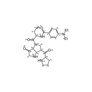 CCN(CC)c1ccc(C(=O)NC(CC(C)C)C(=O)N2CC(C(=O)C3CCCN3)C3NCC(=O)C32)cc1